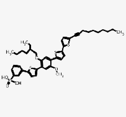 CCCCCCCCC#Cc1ccc(-c2ccc(-c3cc(OCC(CC)CCCC)c(-c4ccc(-c5cccc(P(=O)(O)O)c5)s4)cc3OC)s2)s1